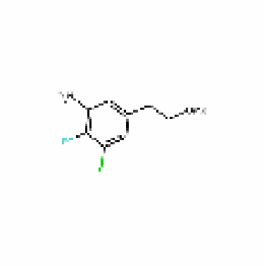 COCCc1cc(Cl)c(F)c([N+](=O)[O-])c1